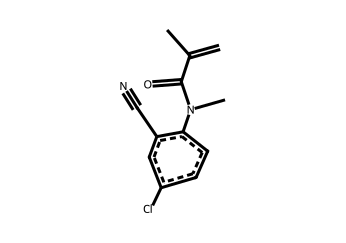 C=C(C)C(=O)N(C)c1ccc(Cl)cc1C#N